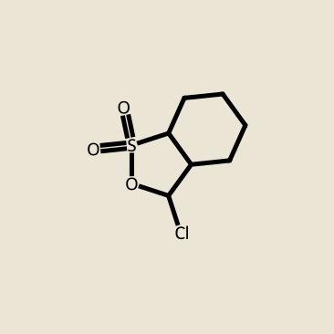 O=S1(=O)OC(Cl)C2CCCCC21